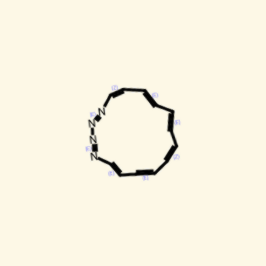 C1=C\C=C\C=C\N=N\N=N\C=C/C=C/C=C/1